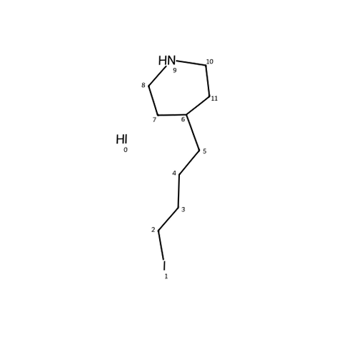 I.ICCCCC1CCNCC1